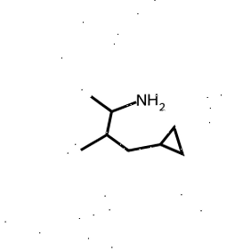 CC(N)C(C)CC1CC1